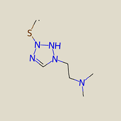 [CH2]SN1N=CN(CCN(C)C)N1